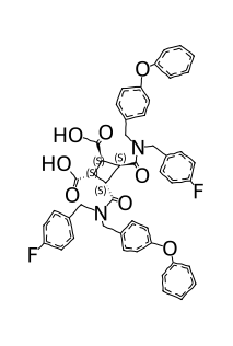 O=C(O)[C@@H]1[C@@H](C(=O)O)[C@@H](C(=O)N(Cc2ccc(F)cc2)Cc2ccc(Oc3ccccc3)cc2)[C@@H]1C(=O)N(Cc1ccc(F)cc1)Cc1ccc(Oc2ccccc2)cc1